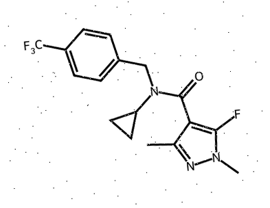 Cc1nn(C)c(F)c1C(=O)N(Cc1ccc(C(F)(F)F)cc1)C1CC1